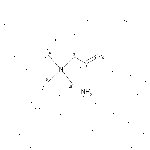 C=CC[N+](C)(C)C.N